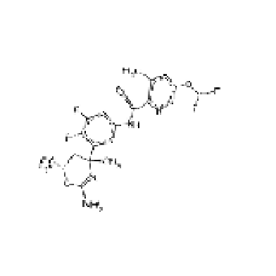 Cc1cc(OC(F)F)cnc1C(=O)Nc1cc(F)c(F)c([C@@]2(C)C[C@@H](C(F)(F)F)OC(N)=N2)c1